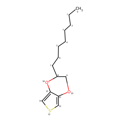 CCCCCCCCC1COc2cscc2O1